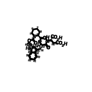 CC(C)(C)OC(=O)N1CCCC[C@H]1C(=O)N[C@@H](Cc1c[nH]c2ccccc12)C(=O)N[C@@H](CC(=O)O)C(=O)O